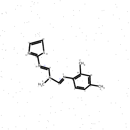 Cc1ccc(/N=C/N(C)/C=N/c2nccs2)c(C)c1